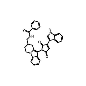 Cn1cc(C2=CC(=O)N(c3c4n(c5ccccc35)CCC(CNC(=O)c3ccccc3)C4)C2=O)c2ccccc21